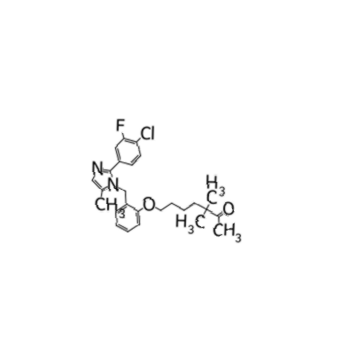 CC(=O)C(C)(C)CCCCOc1ccccc1Cn1c(C)cnc1-c1ccc(Cl)c(F)c1